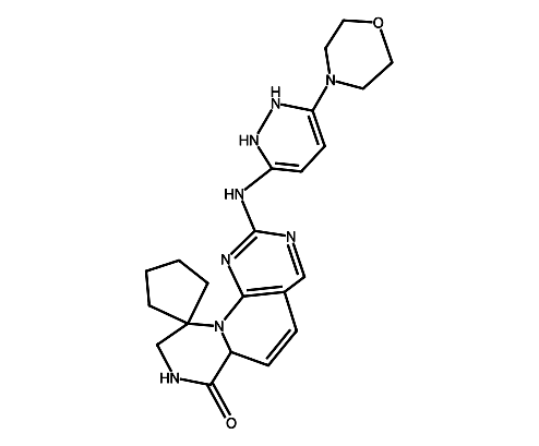 O=C1NCC2(CCCC2)N2c3nc(NC4=CC=C(N5CCOCC5)NN4)ncc3C=CC12